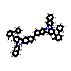 Cc1cccc(-c2ccccc2)c1-c1cc2c3cc4ccccc4cc3n3c4cc5ccc(-c6ccc7cc8c(cc7c6)c6cc(-c7c(C)cccc7-c7ccccc7)cc7c9cc%10ccccc%10cc9n8c76)cc5cc4c(c1)c23